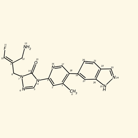 Cc1cc(-n2cnn(C/C(=C/F)CN)c2=O)ncc1-c1ccc2cn[nH]c2c1